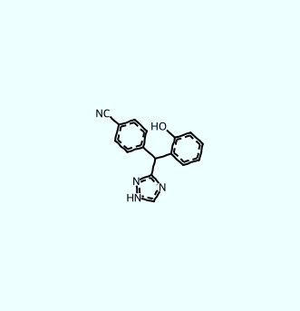 N#Cc1ccc(C(c2nc[nH]n2)c2ccccc2O)cc1